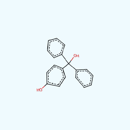 Oc1ccc(C(O)(c2ccccc2)c2ccccc2)cc1